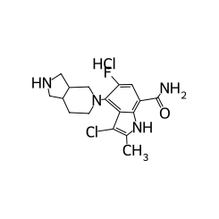 Cc1[nH]c2c(C(N)=O)cc(F)c(N3CCC4CNCC4C3)c2c1Cl.Cl